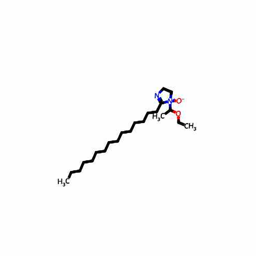 CCCCCCCCCCCCCCCC1=NCC[N+]1([O-])C(C)OCC